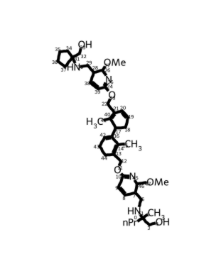 CCCC(C)(CO)NCC1C=CC(OCC2=C(C)C(C3CC=CC(COC4=NC(OC)C(CNC5(CO)CCCC5)C=C4)=C3C)=CCC2)=NC1OC